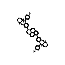 CC12CCCCC1(C)C(c1ccc(F)cc1)c1ccc(-c3ccc4c5c6c(ccc35)C=CC(c3ccc5c(c3)CC3(C)CCCCC3(C)N5c3ccc(F)cc3)C6=CC4)cc1C2